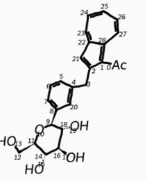 CC(=O)c1c(Cc2cccc([C@@H]3O[C@H](CO)[C@@H](O)[C@H](O)[C@H]3O)c2)cc2cccccc1-2